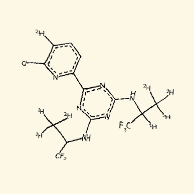 [2H]c1ccc(-c2nc(NC(C([2H])([2H])[2H])C(F)(F)F)nc(NC([2H])(C([2H])([2H])[2H])C(F)(F)F)n2)nc1Cl